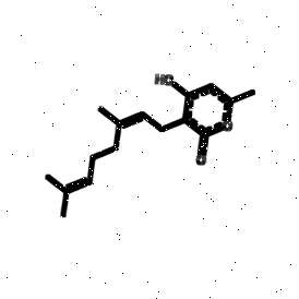 CC(C)=CCCC(C)=CCc1c(O)cc(C)oc1=O